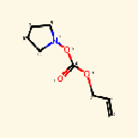 C=CCOC(=O)ON1CCCC1